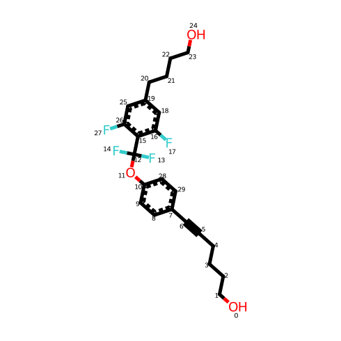 OCCCCC#Cc1ccc(OC(F)(F)c2c(F)cc(CCCCO)cc2F)cc1